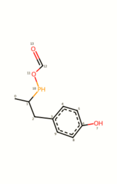 CC(Cc1ccc(O)cc1)POC=O